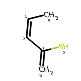 C=C(S)/C=C\C